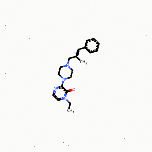 CCn1ccnc(N2CCN(C/C(C)=C/c3ccccc3)CC2)c1=O